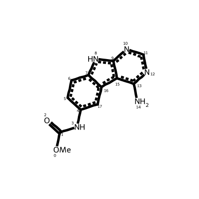 COC(=O)Nc1ccc2[nH]c3ncnc(N)c3c2c1